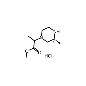 COC(=O)C(C)N1CCN[C@@H](C)C1.Cl